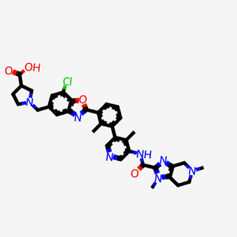 Cc1c(NC(=O)c2nc3c(n2C)CCN(C)C3)cncc1-c1cccc(-c2nc3cc(CN4CCC(C(=O)O)C4)cc(Cl)c3o2)c1C